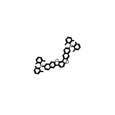 Cc1cccc(C)c1N(c1ccc2cc3c(cc2c1)oc1c3ccc2oc3cc4cc(N(c5c(C)cccc5C)c5c(C)cccc5C)ccc4cc3c21)c1c(C)cccc1C